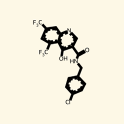 O=C(NCc1ccc(Cl)cc1)c1cnc2cc(C(F)(F)F)cc(C(F)(F)F)c2c1O